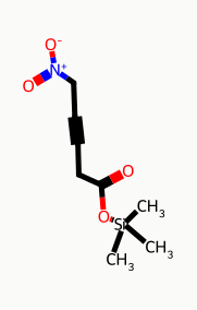 C[Si](C)(C)OC(=O)CC#CC[N+](=O)[O-]